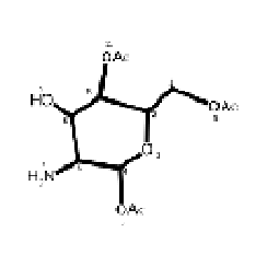 CC(=O)OCC1OC(OC(C)=O)C(N)C(O)C1OC(C)=O